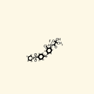 CC(O)(C(=O)Nc1ccc(Sc2ccc(S(=O)(=O)N3CCCC3)cc2)cc1Cl)C(F)(F)F